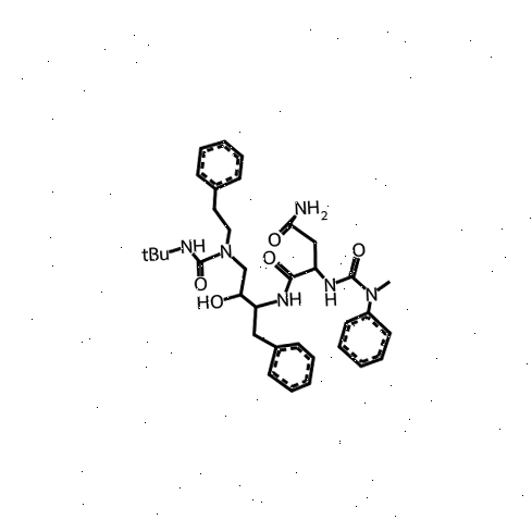 CN(C(=O)NC(CC(N)=O)C(=O)NC(Cc1ccccc1)C(O)CN(CCc1ccccc1)C(=O)NC(C)(C)C)c1ccccc1